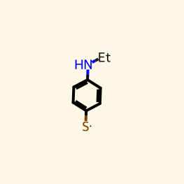 CCNc1ccc([S])cc1